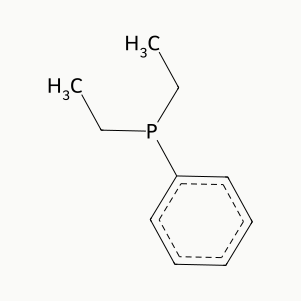 CCP(CC)c1ccccc1